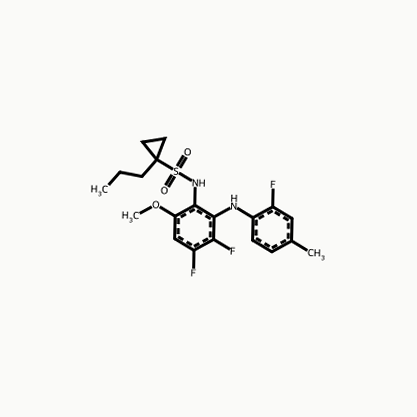 CCCC1(S(=O)(=O)Nc2c(OC)cc(F)c(F)c2Nc2ccc(C)cc2F)CC1